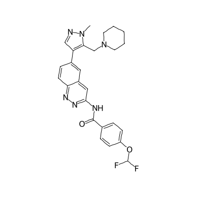 Cn1ncc(-c2ccc3nnc(NC(=O)c4ccc(OC(F)F)cc4)cc3c2)c1CN1CCCCC1